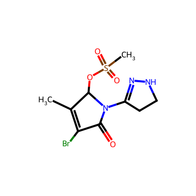 CC1=C(Br)C(=O)N(C2=NNCC2)C1OS(C)(=O)=O